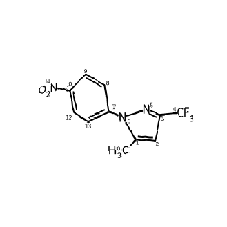 Cc1cc(C(F)(F)F)nn1-c1ccc([N+](=O)[O-])cc1